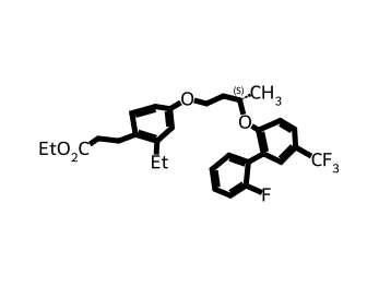 CCOC(=O)CCc1ccc(OCC[C@H](C)Oc2ccc(C(F)(F)F)cc2-c2ccccc2F)cc1CC